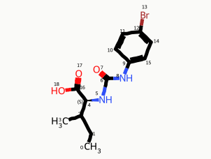 CCC(C)[C@H](NC(=O)Nc1ccc(Br)cc1)C(=O)O